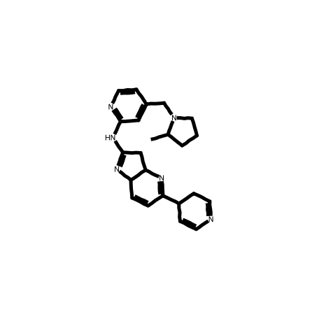 CC1CCCN1Cc1ccnc(NC2=NC3C=CC(C4C=CN=CC4)=NC3C2)c1